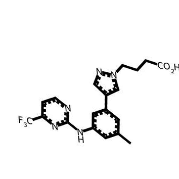 Cc1cc(Nc2nccc(C(F)(F)F)n2)cc(-c2cnn(CCCC(=O)O)c2)c1